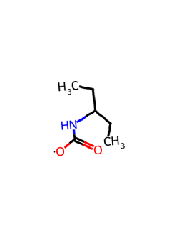 CCC(CC)NC([O])=O